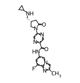 Cc1cn2cc(NC(=O)c3cnc(N4C[C@H](CNC5CC5)CC4=O)cn3)cc(F)c2n1